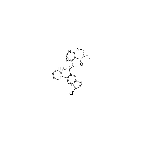 C[C@H](Nc1ncnc(N)c1C(N)=O)c1cc2ncc(Cl)n2nc1-c1ccccc1